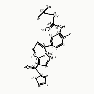 Cc1ccc(-c2ccnc3c(C(=O)c4cccs4)cnn23)cc1NC(=O)NC(C)C